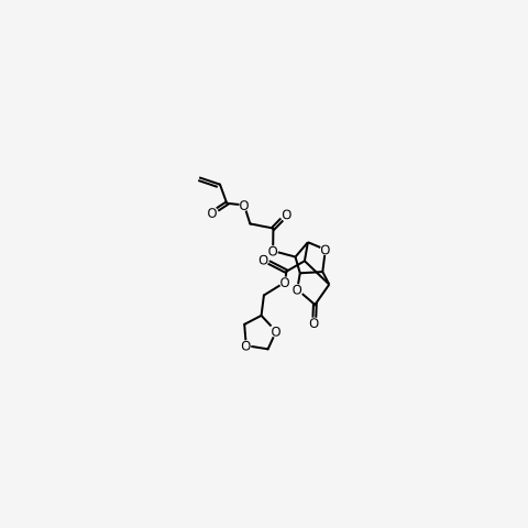 C=CC(=O)OCC(=O)OC1C2OC(=O)C3C2OC1C3C(=O)OCC1COCO1